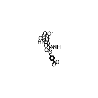 N=[N+]=C(C(=O)C[C@@H]1CN(C(=O)[O-])[C@@H]2C(=O)N[C@H]12)C(=O)OCc1ccc([N+](=O)[O-])cc1